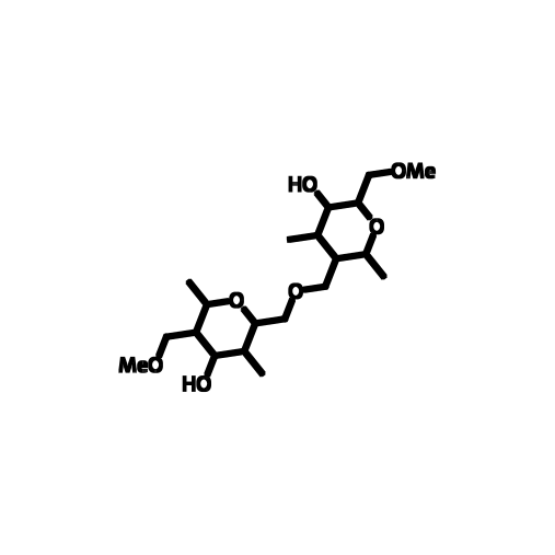 COCC1OC(C)C(COCC2OC(C)C(COC)C(O)C2C)C(C)C1O